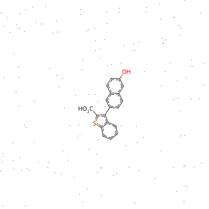 O=C(O)c1sc2ccccc2c1-c1ccc2cc(O)ccc2c1